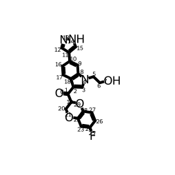 O=C(c1cn(CCO)c2cc(-c3cn[nH]c3)ccc12)C1COc2cc(F)ccc2O1